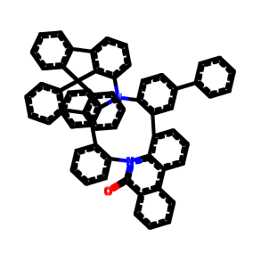 O=c1c2ccccc2c2cccc3c2n1-c1ccccc1-c1ccccc1N(c1cccc2c1C1(c4ccccc4-c4ccccc41)c1ccccc1-2)c1ccc(-c2ccccc2)cc1-3